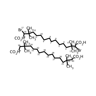 CC(C)(CCCCCCCCCCC(C)(C)C(Br)C(=O)O)C(Br)C(=O)O.CC(C)(CCCCCCCCCCC(C)(C)CC(=O)O)CC(=O)O